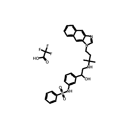 CC(C)(CCn1cnc2cc3ccccc3cc21)NCC(O)c1cccc(NS(=O)(=O)c2ccccc2)c1.O=C(O)C(F)(F)F